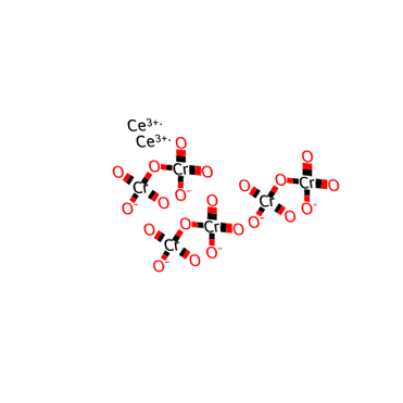 [Ce+3].[Ce+3].[O]=[Cr](=[O])([O-])[O][Cr](=[O])(=[O])[O-].[O]=[Cr](=[O])([O-])[O][Cr](=[O])(=[O])[O-].[O]=[Cr](=[O])([O-])[O][Cr](=[O])(=[O])[O-]